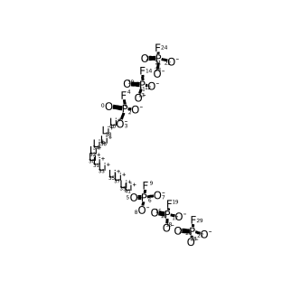 O=P([O-])([O-])F.O=P([O-])([O-])F.O=P([O-])([O-])F.O=P([O-])([O-])F.O=P([O-])([O-])F.O=P([O-])([O-])F.[Li+].[Li+].[Li+].[Li+].[Li+].[Li+].[Li+].[Li+].[Li+].[Li+].[Li+].[Li+]